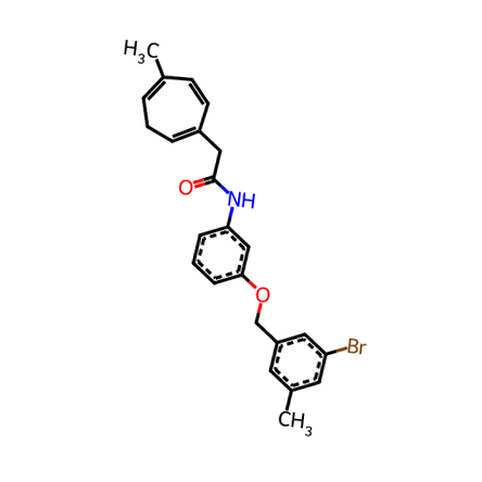 CC1=CCC=C(CC(=O)Nc2cccc(OCc3cc(C)cc(Br)c3)c2)C=C1